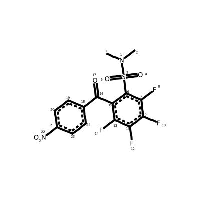 CN(C)S(=O)(=O)c1c(F)c(F)c(F)c(F)c1C(=O)c1ccc([N+](=O)[O-])cc1